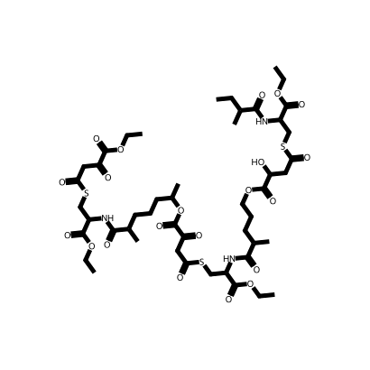 CCOC(=O)C(=O)CC(=O)SCC(NC(=O)C(C)CCCC(C)OC(=O)C(=O)CC(=O)SCC(NC(=O)C(C)CCCOC(=O)C(O)CC(=O)SCC(NC(=O)C(C)CC)C(=O)OCC)C(=O)OCC)C(=O)OCC